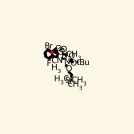 CN1C(N(COCC[Si](C)(C)C)C(=O)OC(C)(C)C)=N[C@](C)(c2cc(Br)ccc2F)C2(CC2)S1(=O)=O